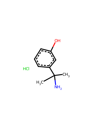 CC(C)(N)c1cccc(O)c1.Cl